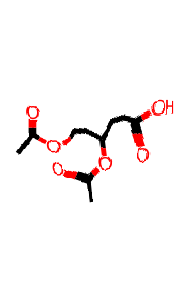 CC(=O)OCC(CC(=O)O)OC(C)=O